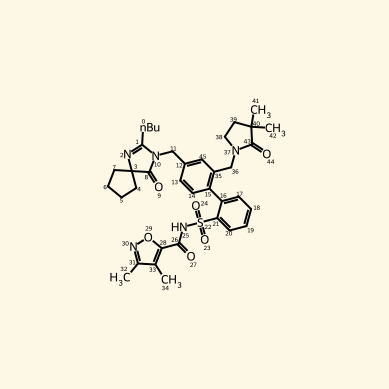 CCCCC1=NC2(CCCC2)C(=O)N1Cc1ccc(-c2ccccc2S(=O)(=O)NC(=O)c2onc(C)c2C)c(CN2CCC(C)(C)C2=O)c1